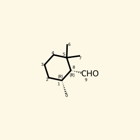 C[C@@H]1CCCC(C)(C)[C@@H]1C=O